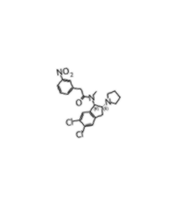 CN(C(=O)Cc1cccc([N+](=O)[O-])c1)[C@@H]1c2cc(Cl)c(Cl)cc2C[C@H]1N1CCCC1